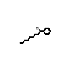 C=CCCCCCCC(CC)c1ccccc1